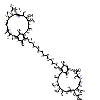 COC1/C=C\C=C(/C)C(=O)NC2=CC(=O)C(NCCCOCCCCOCCCNC3=C4CC(C)CC(OC)C(O)C(C)/C=C(\C)C(OC(N)=O)C(OC)/C=C\C=C(/C)C(=O)NC(=CC3=O)C4=O)=C(CC(C)CC(OC)C(O)C(C)/C=C(\C)C1OC(N)=O)C2=O